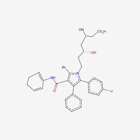 CC(C)c1c(C(=O)NC2=CCCC=C2)c(-c2ccccc2)c(-c2ccc(F)cc2)n1CC[C@@H](O)CC(CC(=O)O)N=O